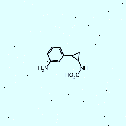 Nc1cccc(C2CC2NC(=O)O)c1